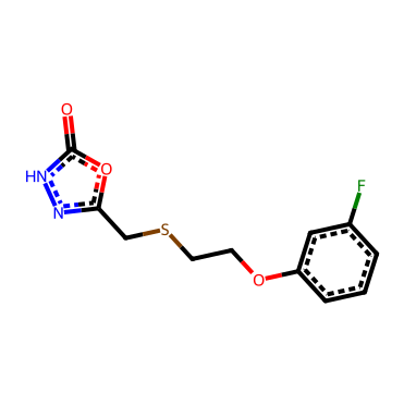 O=c1[nH]nc(CSCCOc2cccc(F)c2)o1